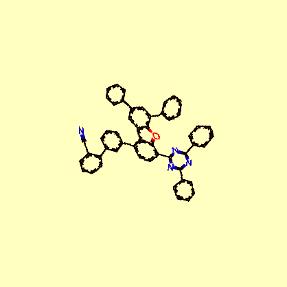 N#Cc1ccccc1-c1cccc(-c2ccc(-c3nc(-c4ccccc4)nc(-c4ccccc4)n3)c3oc4c(-c5ccccc5)cc(-c5ccccc5)cc4c23)c1